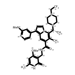 CNc1cc(-c2ccn3c([C@@H](C)N4CCN(CC(F)(F)F)CC4)c(C)c(C(=O)NCc4c(OC)cc(C)[nH]c4=O)cc23)ccn1